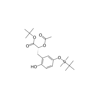 CC(=O)O[C@H](Cc1cc(O[Si](C)(C)C(C)(C)C)ccc1O)C(=O)OC(C)(C)C